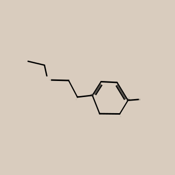 CCOCCC1=CC=C(F)CC1